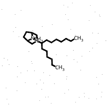 CCCCCCCC(CCCCCC)N1CC2CCC(C1)N2C